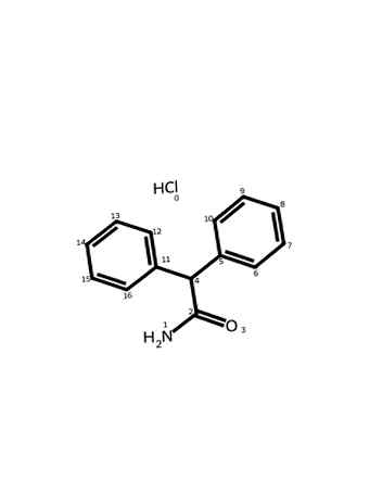 Cl.NC(=O)C(c1ccccc1)c1ccccc1